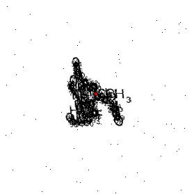 COc1nc(-c2cc(F)cc(-c3cc(-c4cc(-c5ccc(CN6CCN(C7COC7)CC6)c(OC)n5)c(Cl)c(-c5cccc(-c6ccc(CN7CCN(C8COC8)CC7)c(OC)n6)c5Cl)c4)cc(-c4ccc(CNC[C@@H]5CCC(=O)N5)c(OC)n4)c3Cl)c2Cl)ccc1CNC[C@@H]1CCC(=O)N1